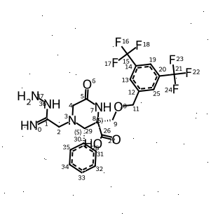 N=C(CN1CC(=O)N[C@@](COCc2cc(C(F)(F)F)cc(C(F)(F)F)c2)(C(=O)O)[C@@H]1c1ccccc1)NN